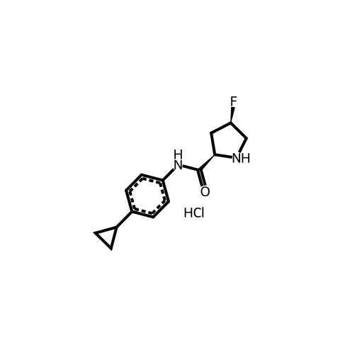 Cl.O=C(Nc1ccc(C2CC2)cc1)[C@H]1C[C@@H](F)CN1